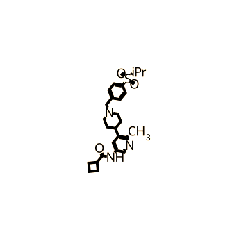 Cc1ncc(NC(=O)C2CCC2)cc1C1CCN(Cc2ccc(S(=O)(=O)C(C)C)cc2)CC1